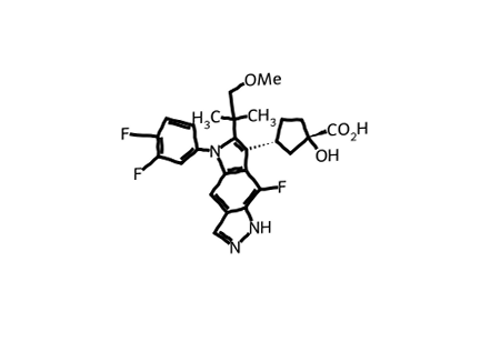 COCC(C)(C)c1c([C@@H]2CC[C@@](O)(C(=O)O)C2)c2c(F)c3[nH]ncc3cc2n1-c1ccc(F)c(F)c1